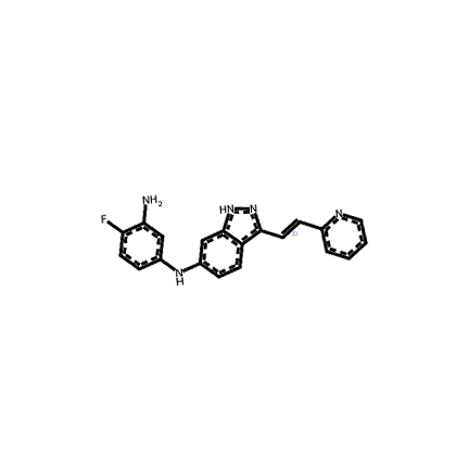 Nc1cc(Nc2ccc3c(/C=C/c4ccccn4)n[nH]c3c2)ccc1F